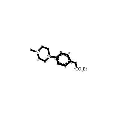 CCOC(=O)Cc1ccc(N2CCN(C)CC2)cc1